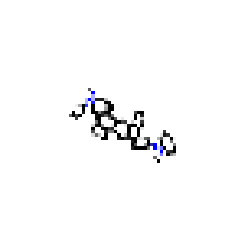 CCN(c1ccccc1)c1ccc2c(c1)c1ccccc1c1cc3c4ccc(N(CC)c5ccccc5)cc4c4ccccc4c3cc21